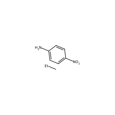 CCC.Nc1ccc([N+](=O)[O-])cc1